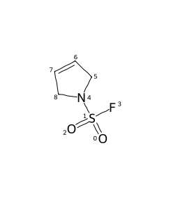 O=S(=O)(F)N1CC=CC1